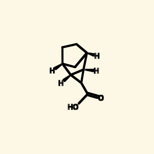 O=C(O)C1[C@@H]2[C@@H]3CC[C@@H](C3)[C@H]12